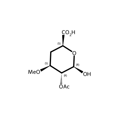 CO[C@H]1C[C@@H](C(=O)O)O[C@@H](O)[C@@H]1OC(C)=O